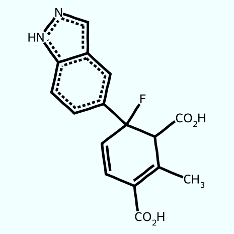 CC1=C(C(=O)O)C=CC(F)(c2ccc3[nH]ncc3c2)C1C(=O)O